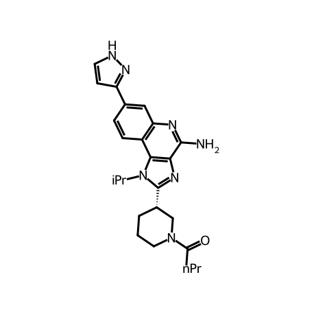 CCCC(=O)N1CCC[C@H](c2nc3c(N)nc4cc(-c5cc[nH]n5)ccc4c3n2C(C)C)C1